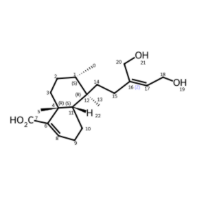 C[C@H]1CC[C@@]2(C)C(C(=O)O)=CCC[C@H]2[C@]1(C)CC/C(=C/CO)CO